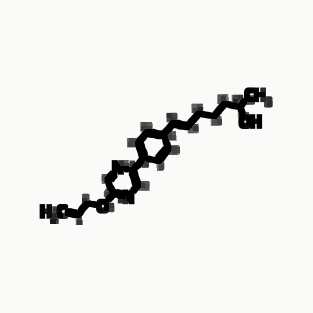 C=CCOc1cnc(-c2ccc(C=CCCCC(C)O)cc2)cn1